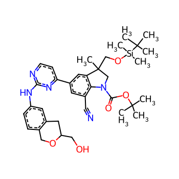 CC(C)(C)OC(=O)N1CC(C)(CO[Si](C)(C)C(C)(C)C)c2cc(-c3ccnc(Nc4ccc5c(c4)CC(CO)OC5)n3)cc(C#N)c21